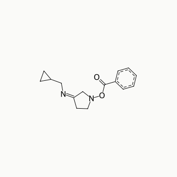 O=C(ON1CC/C(=N/CC2CC2)C1)c1ccccc1